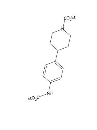 CCOC(=O)Nc1ccc(C2CCN(C(=O)OCC)CC2)cc1